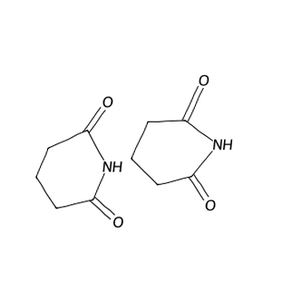 O=C1CCCC(=O)N1.O=C1CCCC(=O)N1